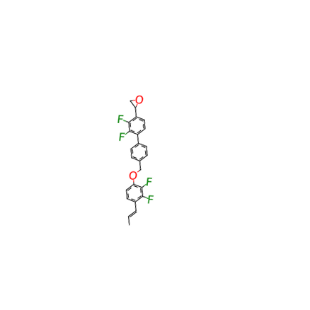 C/C=C/c1ccc(OCc2ccc(-c3ccc(C4CO4)c(F)c3F)cc2)c(F)c1F